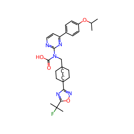 CC(C)Oc1ccc(-c2ccnc(N(CC34CCC(c5noc(C(C)(C)F)n5)(CC3)CC4)C(=O)O)n2)cc1